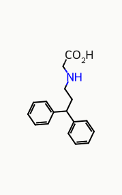 O=C(O)CNCCC(c1ccccc1)c1ccccc1